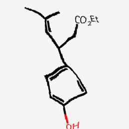 CCOC(=O)CC(C=C(C)C)c1ccc(O)cc1